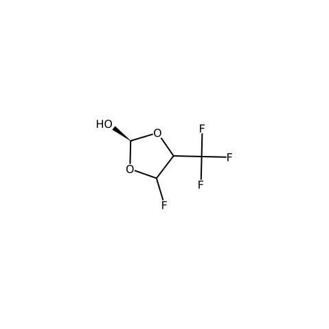 O[C@@H]1OC(F)C(C(F)(F)F)O1